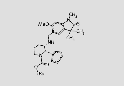 COc1cc2c(cc1CN[C@H]1CCCN(C(=O)OC(C)(C)C)[C@H]1c1ccccc1)C(C)(C)C(=S)N2C